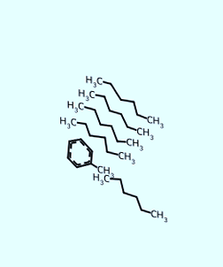 CCCCCC.CCCCCC.CCCCCC.CCCCCC.CCCCCC.Cc1ccccc1